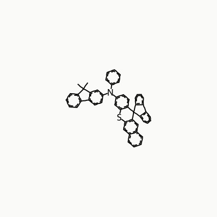 CC1(C)c2ccccc2-c2ccc(N(c3ccccc3)c3ccc4c(c3)Sc3cc5ccccc5cc3C43c4ccccc4-c4ccccc43)cc21